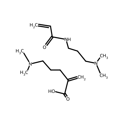 C=C(CCCN(C)C)C(=O)O.C=CC(=O)NCCCN(C)C